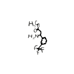 COC(=O)C[C@H](N)c1cccc(C(F)(F)F)c1